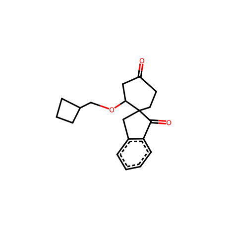 O=C1CCC2(Cc3ccccc3C2=O)C(OCC2CCC2)C1